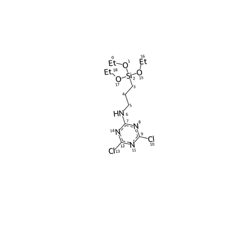 CCO[Si](CCCNc1nc(Cl)nc(Cl)n1)(OCC)OCC